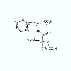 CCCCC[C@](N)(CC(=O)O)C(=O)N[C@H](Cc1ccccc1)C(=O)O